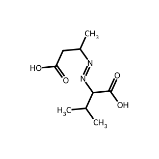 CC(CC(=O)O)N=NC(C(=O)O)C(C)C